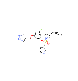 CNCc1cc(-c2ccc(OCc3cnn(C)c3)cc2F)n(S(=O)(=O)c2cccnc2)c1